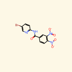 O=C(Nc1ccc(Br)cn1)c1ccc([N+](=O)[O-])c([N+](=O)[O-])c1